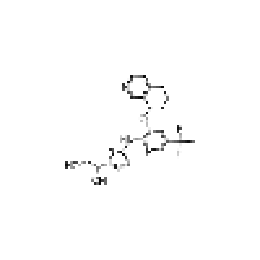 OCC(O)c1csc(Nc2ncc(C(F)(F)F)cc2OC2CCCc3ccncc32)n1